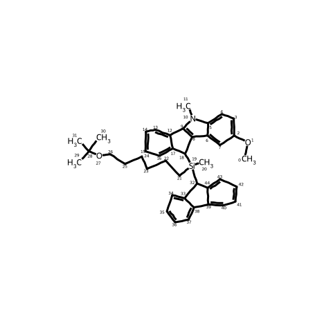 COc1ccc2c(c1)c1c(n2C)-c2ccccc2C1[Si](C)(CCCCCCOC(C)(C)C)C1c2ccccc2-c2ccccc21